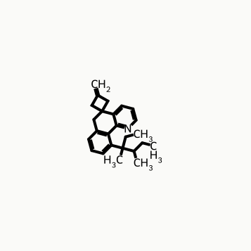 C=C1CC2(C1)Cc1cccc(C(C)(CC)C(C)CC)c1-c1ncccc12